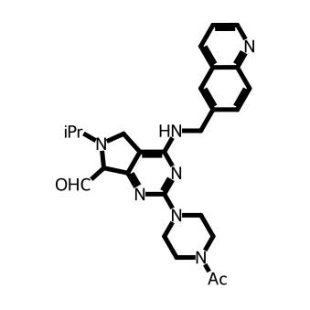 CC(=O)N1CCN(c2nc(NCc3ccc4ncccc4c3)c3c(n2)C(C=O)N(C(C)C)C3)CC1